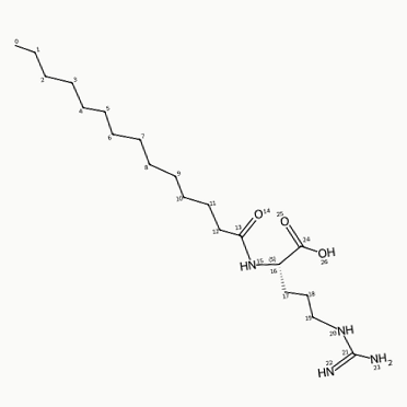 CCCCCCCCCCCCCC(=O)N[C@@H](CCCNC(=N)N)C(=O)O